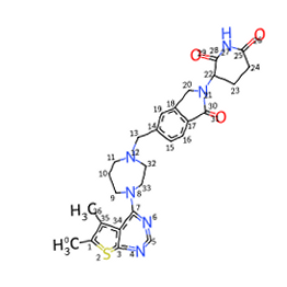 Cc1sc2ncnc(N3CCCN(Cc4ccc5c(c4)CN(C4CCC(=O)NC4=O)C5=O)CC3)c2c1C